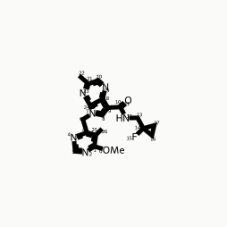 COc1ncnc(Cn2cc(C(=O)NCC3(F)CC3)c3ncc(C)nc32)c1C